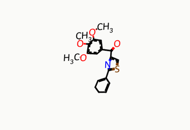 COc1cc(C(=O)c2csc(C3=CCCC=C3)n2)cc(OC)c1OC